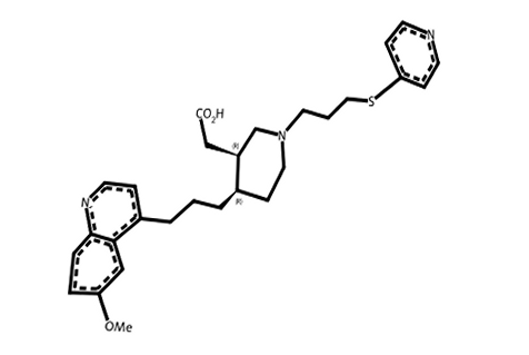 COc1ccc2nccc(CCC[C@@H]3CCN(CCCSc4ccncc4)C[C@@H]3CC(=O)O)c2c1